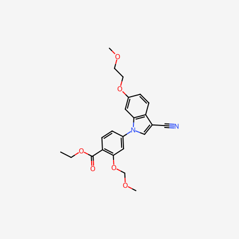 CCOC(=O)c1ccc(-n2cc(C#N)c3ccc(OCCOC)cc32)cc1OCOC